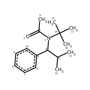 CC(=O)N(C(c1ccccc1)C(C)C)C(C)(C)C